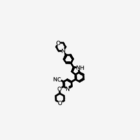 N#Cc1cc(-c2cccc3[nH]c(-c4ccc(N5CCOCC5)cc4)cc23)cnc1OC1CCOCC1